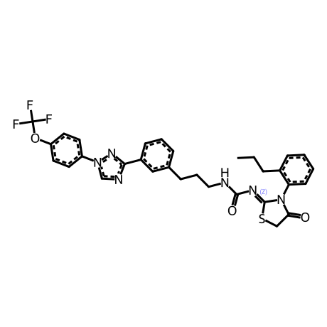 CCCc1ccccc1N1C(=O)CS/C1=N\C(=O)NCCCc1cccc(-c2ncn(-c3ccc(OC(F)(F)F)cc3)n2)c1